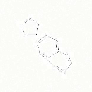 C1CCOC1.c1ccc2nccnc2c1